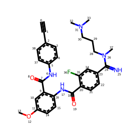 C#Cc1ccc(NC(=O)c2cc(OC)ccc2NC(=O)c2ccc(C(=N)N(C)CCCN(C)C)cc2F)cc1